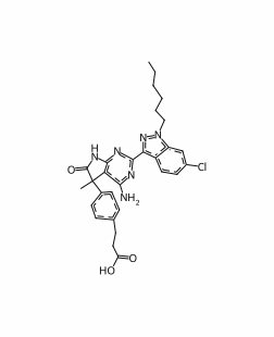 CCCCCCn1nc(-c2nc(N)c3c(n2)NC(=O)C3(C)c2ccc(CCC(=O)O)cc2)c2ccc(Cl)cc21